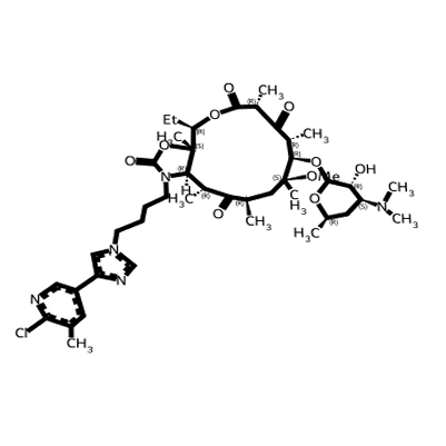 CC[C@H]1OC(=O)[C@H](C)C(=O)[C@H](C)[C@@H](OC2O[C@H](C)C[C@H](N(C)C)[C@H]2O)[C@@](C)(OC)C[C@@H](C)C(=O)[C@H](C)[C@H]2N(CCCCn3cnc(-c4cnc(Cl)c(C)c4)c3)C(=O)O[C@]12C